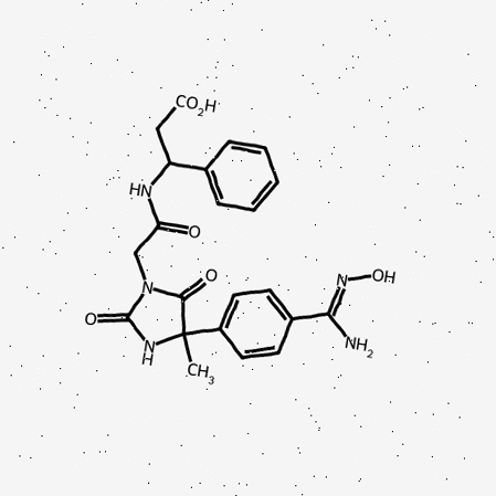 CC1(c2ccc(C(N)=NO)cc2)NC(=O)N(CC(=O)NC(CC(=O)O)c2ccccc2)C1=O